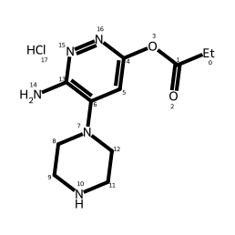 CCC(=O)Oc1cc(N2CCNCC2)c(N)nn1.Cl